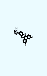 Fc1ccc(-c2nc3ccc(-c4nnn[nH]4)cc3nc2-c2ccc(F)cc2)cc1